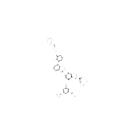 Cc1c(OCCCN2CCC(F)CC2)cccc1-c1cccc2c1CC[C@@H]2Oc1cc(OCc2cc(C#N)cc(C#N)c2)c(CN[C@H]2CCCCNC2=O)cc1Cl